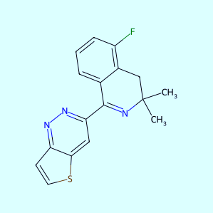 CC1(C)Cc2c(F)cccc2C(c2cc3sccc3nn2)=N1